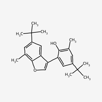 Cc1cc(C(C)(C)C)cc(-c2coc3c(C)cc(C(C)(C)C)cc23)c1O